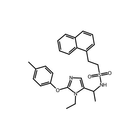 CCn1c(C(C)NS(=O)(=O)CCc2cccc3ccccc23)cnc1Oc1ccc(C)cc1